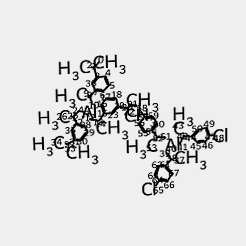 CC(C)c1cccc(C(C)[CH2][Al]([CH2]C(C)c2cccc(C(C)C)c2)[CH2]C(C)c2cccc(C(C)C)c2)c1.CC([CH2][Al]([CH2]C(C)c1ccc(Cl)cc1)[CH2]C(C)c1ccc(Cl)cc1)c1ccc(Cl)cc1